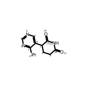 CC(C)c1ncncc1C1CCC(=O)NC1=O